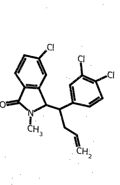 C=CCC(c1ccc(Cl)c(Cl)c1)C1c2cc(Cl)ccc2C(=O)N1C